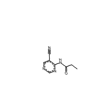 CCC(=O)Nc1ncncc1C#N